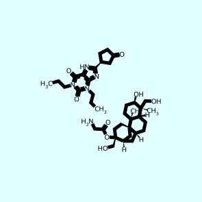 CCCn1c(=O)c2[nH]c([C@H]3CCC(=O)C3)nc2n(CCC)c1=O.C[C@@]1(CO)[C@H](O)CC[C@@]2(C)[C@H]1CC[C@H]1C[C@@H]3C[C@@]12CC[C@@]3(CO)OC(=O)CN